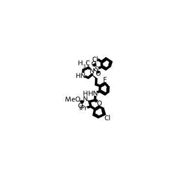 COC(=O)N[C@H](C(=O)Nc1cccc(F)c1CC[C@H]1CNC[C@H](C)N1S(=O)(=O)c1ccccc1Cl)C(c1ccc(Cl)cc1)C(C)C